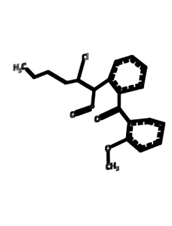 CCCCC(Cl)C(P=O)c1ccccc1C(=O)c1ccccc1OC